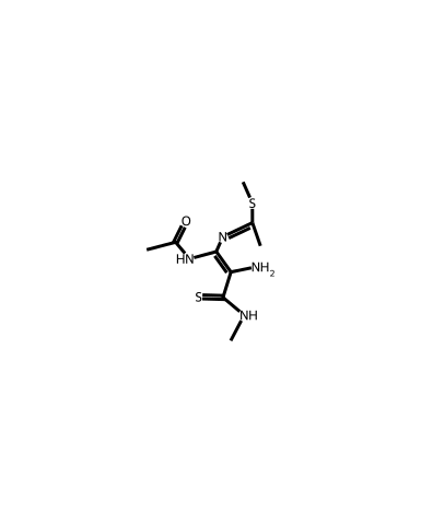 CNC(=S)/C(N)=C(/N=C(\C)SC)NC(C)=O